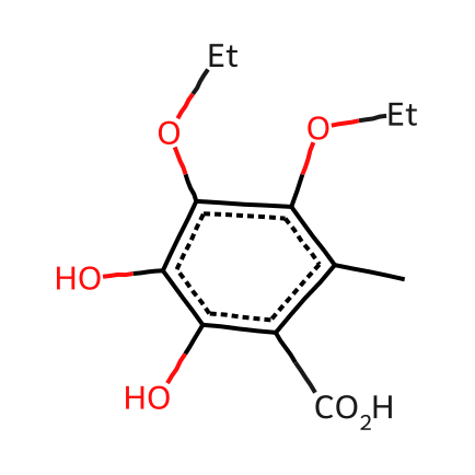 CCOc1c(C)c(C(=O)O)c(O)c(O)c1OCC